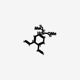 C=Cc1ccccc1C=C.CO[SiH2]OC